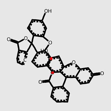 O=C(Oc1ccc2c(c1)Oc1cc(O)ccc1C21OC(=O)c2ccccc21)c1ccccc1-c1c2ccc(=O)cc-2oc2cc(O)ccc12